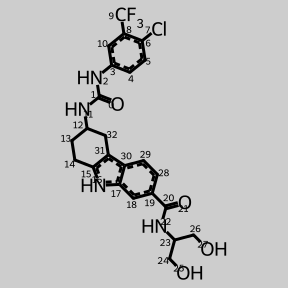 O=C(Nc1ccc(Cl)c(C(F)(F)F)c1)NC1CCc2[nH]c3cc(C(=O)NC(CO)CO)ccc3c2C1